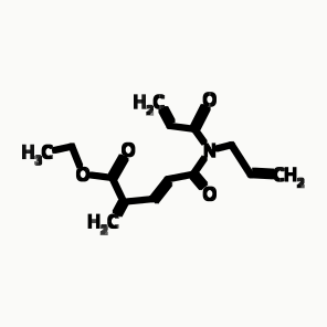 C=CCN(C(=O)C=C)C(=O)C=CC(=C)C(=O)OCC